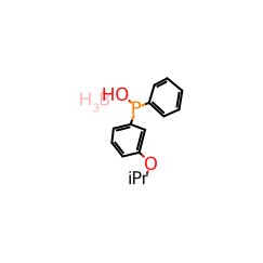 B.CC(C)Oc1cccc(P(O)c2ccccc2)c1